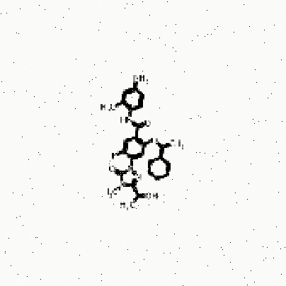 Cc1cc(N)ccc1NC(=O)c1cc(F)c(-n2nc(C(C)O)n(C)c2=O)cc1OC(C)C1CCCCC1